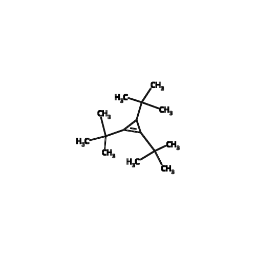 CC(C)(C)C1=C(C(C)(C)C)C1C(C)(C)C